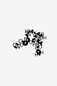 C=C(C)[C@H](NC(=O)O[C@@H]1C[C@@H]2C[C@@H]2C1)C(=O)N1C[C@H](Oc2cc(-c3csc(NC(C)C)n3)nc3c(Cl)c(OC[C@@H]4COCCN4C)ccc23)C[C@H]1C(=O)N[C@]1(C(=O)O)C[C@H]1CC